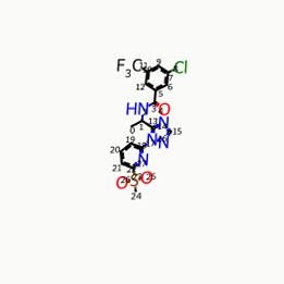 CC(NC(=O)c1cc(Cl)cc(C(F)(F)F)c1)c1ncnn1-c1cccc(S(C)(=O)=O)n1